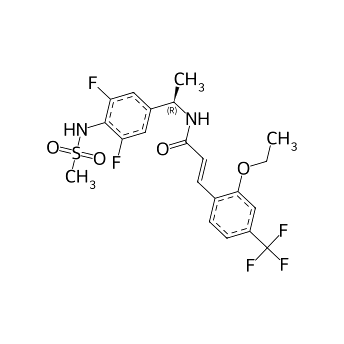 CCOc1cc(C(F)(F)F)ccc1C=CC(=O)N[C@H](C)c1cc(F)c(NS(C)(=O)=O)c(F)c1